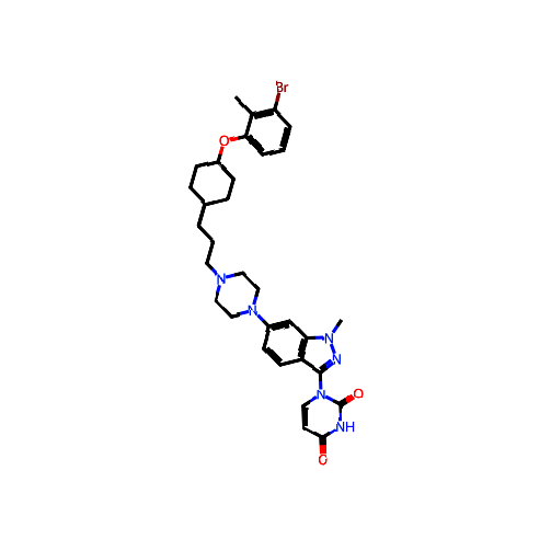 Cc1c(Br)cccc1OC1CCC(CCCN2CCN(c3ccc4c(-n5ccc(=O)[nH]c5=O)nn(C)c4c3)CC2)CC1